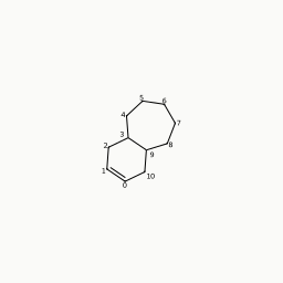 C1=CCC2CCCCCC2C1